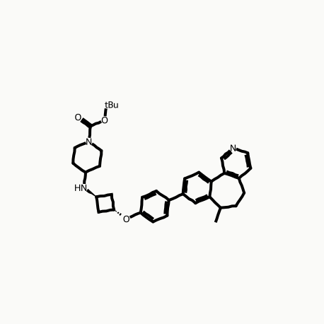 CC1CCc2ccncc2-c2ccc(-c3ccc(O[C@H]4C[C@H](NC5CCN(C(=O)OC(C)(C)C)CC5)C4)cc3)cc21